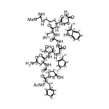 CNC(=N)NCCC[C@H](NC(=O)[C@H](CC(C)C)NC(=O)NNC(=O)[C@H](Cc1ccccc1)NC(=O)[C@@H](NC(=O)[C@H](CC(N)=O)NC(=O)[C@@H]1C[C@@](C)(O)CN1C(=O)[C@H](Cc1ccccc1)NC(C)=O)[C@@H](C)O)C(=O)N[C@@H](Cc1c[nH]c2ccccc12)C(N)=O